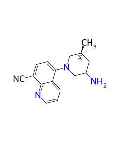 C[C@H]1CC(N)CN(c2ccc(C#N)c3ncccc23)C1